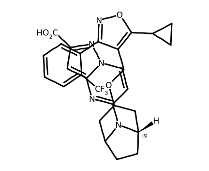 O=C(O)c1cc2nc(N3C4CC[C@H]3CC(OCc3c(-c5ccccc5C(F)(F)F)noc3C3CC3)C4)ccn2n1